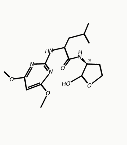 COc1cc(OC)nc(NC(CC(C)C)C(=O)N[C@H]2CCOC2O)n1